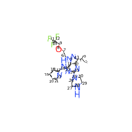 CC(C)c1nn(CCOCC(F)(F)F)c2c(Nc3ccccn3)nc(N3CCNCC3)nc12